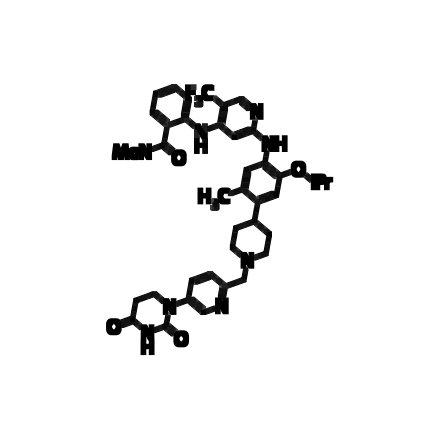 CNC(=O)c1ccccc1Nc1cc(Nc2cc(C)c(C3CCN(Cc4ccc(N5CCC(=O)NC5=O)cn4)CC3)cc2OC(C)C)ncc1C(F)(F)F